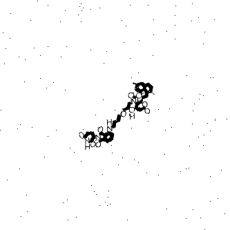 C[C@H]1C=C2C=C[C@H](C)C(CC[C@@H]3C[C@@H](O)CC(=O)O3)[C@H]2[C@@H](OC(=O)NCCCOCCCCNc2cccc3c2C(=O)N(C2CCC(=O)NC2=O)C3=O)C1